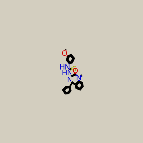 COc1cccc(NC(=S)NC2N=C(c3ccccc3)c3ccccc3N(C)C2=O)c1